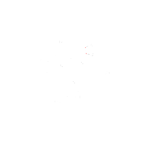 CC(C)(C)c1ccc2c(c1)B1c3ccc4c(oc5ccccc54)c3N(c3ccc(C(C)(C)C)cc3-c3ccccc3)c3cc(N4c5ccc(C(C)(C)C)cc5C5(C)CCCCC45C)cc(c31)N2c1cccc2c1oc1ccccc12